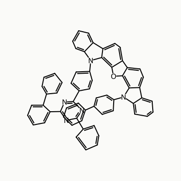 c1ccc(-c2ccc(-n3c4ccccc4c4ccc5c6ccc7c8ccccc8n(-c8ccc(-c9nc(-c%10ccccc%10)nc(-c%10ccccc%10-c%10ccccc%10)n9)cc8)c7c6oc5c43)cc2)cc1